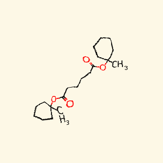 CC1(OC(=O)CCCCC(=O)OC2(C)CCCCC2)CCCCC1